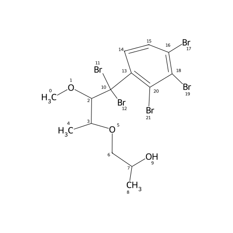 COC(C(C)OCC(C)O)C(Br)(Br)c1ccc(Br)c(Br)c1Br